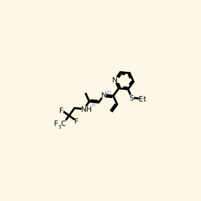 C=C/C(=N\C=C(/C)NCC(F)(F)C(F)(F)F)c1ncccc1SCC